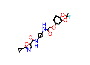 CC1(F)Oc2ccc(OCC(=O)NC34CC(NC(=O)c5cnc(C6CC6)o5)(C3)C4)cc2O1